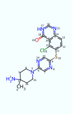 CC1(N)CCN(c2cnc(Sc3ccc4nc[nH]c(=O)c4c3Cl)cn2)CC1